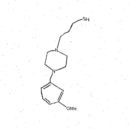 COc1cccc(N2CCN(CCCS)CC2)c1